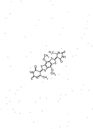 COc1c2c(c(OC)c3c1SC(=C1C(=O)NC(=S)N=C1C)S3)SC(=C1C(=O)NC(=S)N=C1C)S2